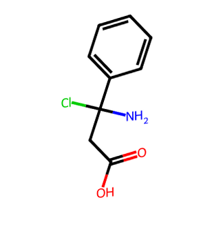 NC(Cl)(CC(=O)O)c1ccccc1